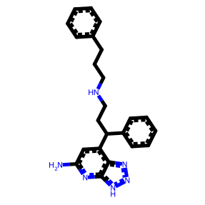 Nc1cc(C(CCNCCCc2ccccc2)c2ccccc2)c2nn[nH]c2n1